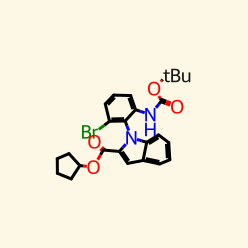 CC(C)(C)OC(=O)Nc1cccc(Br)c1-n1c(C(=O)OC2CCCC2)cc2ccccc21